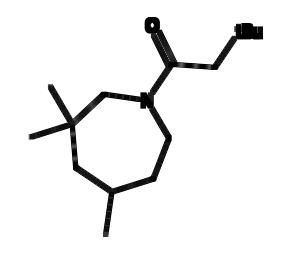 CC1CCN(C(=O)CC(C)(C)C)CC(C)(C)C1